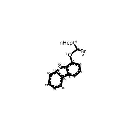 CCCCCCCC(Br)Oc1cccc2c1sc1ccccc12